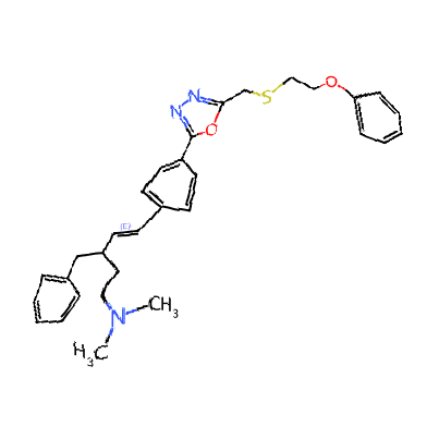 CN(C)CCC(/C=C/c1ccc(-c2nnc(CSCCOc3ccccc3)o2)cc1)Cc1ccccc1